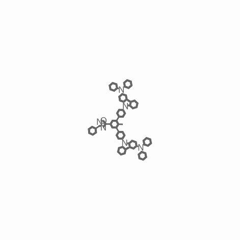 Cc1c(-c2ccc(-n3c4ccccc4c4cc(N(c5ccccc5)c5ccccc5)ccc43)cc2)cc(-c2nc(-c3ccccc3)no2)cc1-c1ccc(-n2c3ccccc3c3cc(N(c4ccccc4)c4ccccc4)ccc32)cc1